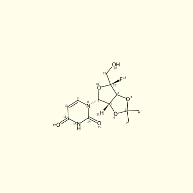 CC1(C)OC2[C@H](O1)[C@H](n1ccc(=O)[nH]c1=O)O[C@]2(F)CO